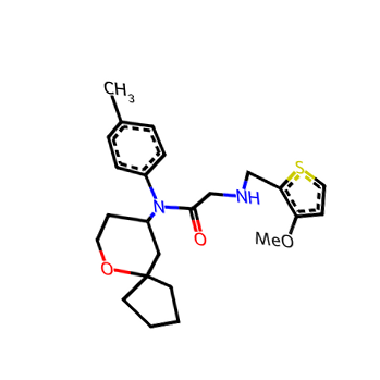 COc1ccsc1CNCC(=O)N(c1ccc(C)cc1)C1CCOC2(CCCC2)C1